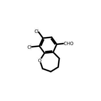 O=Cc1cc(Cl)c(Cl)c2c1CCCCO2